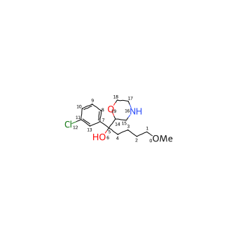 COCCCCC(O)(c1cccc(Cl)c1)C1CNCCO1